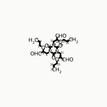 C=CCOC(C=O)Cn1c(=O)n(CC(C=O)OCC=C)c(=O)n(CC(C=O)OCC=C)c1=O